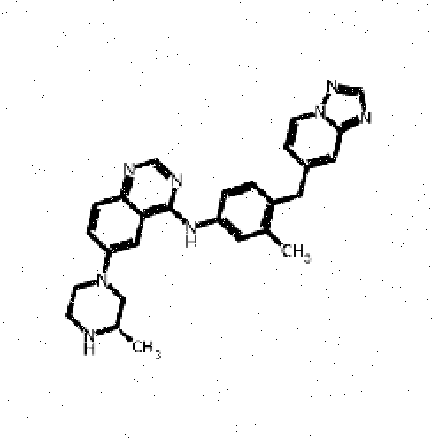 Cc1cc(Nc2ncnc3ccc(N4CCN[C@H](C)C4)cc23)ccc1Cc1ccn2ncnc2c1